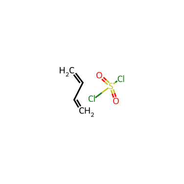 C=CC=C.O=S(=O)(Cl)Cl